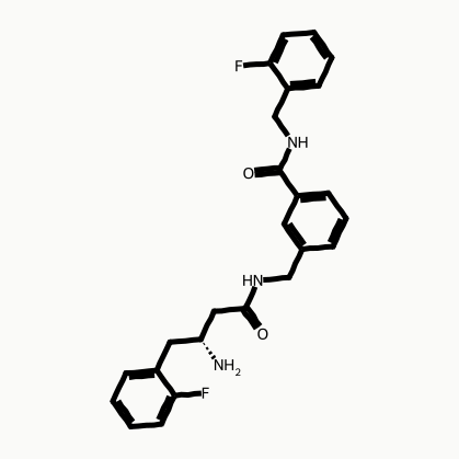 N[C@@H](CC(=O)NCc1cccc(C(=O)NCc2ccccc2F)c1)Cc1ccccc1F